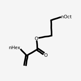 C=C(CCCCCC)C(=O)OCCCCCCCCCC